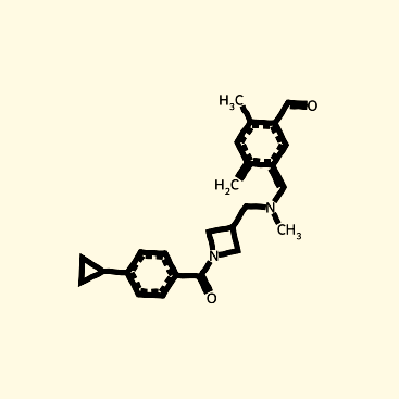 C=c1cc(C)c(C=O)c/c1=C/N(C)CC1CN(C(=O)c2ccc(C3CC3)cc2)C1